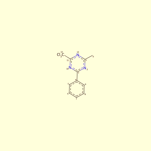 Cc1nc(-c2ccccc2)nc(C(Cl)(Cl)Cl)n1